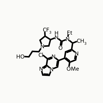 CCN(C(=O)NC1CN(CCCO)CC1C(F)(F)F)C(C)c1cc(-c2cn3ccnc3c(Cl)n2)c(OC)cn1